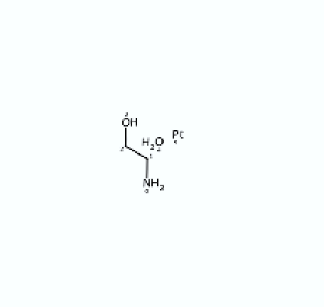 NCCO.O.[Pt]